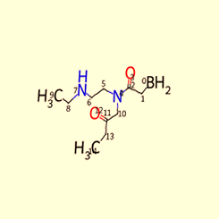 BCC(=O)N(CCNCC)CC(=O)CC